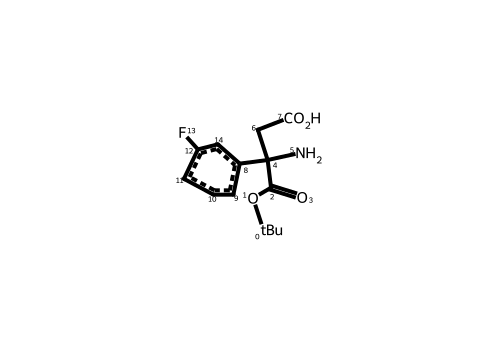 CC(C)(C)OC(=O)C(N)(CC(=O)O)c1cccc(F)c1